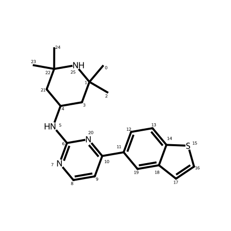 CC1(C)CC(Nc2nccc(-c3ccc4sccc4c3)n2)CC(C)(C)N1